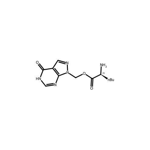 CCCC[C@H](N)C(=O)OCn1ncc2c(=O)[nH]cnc21